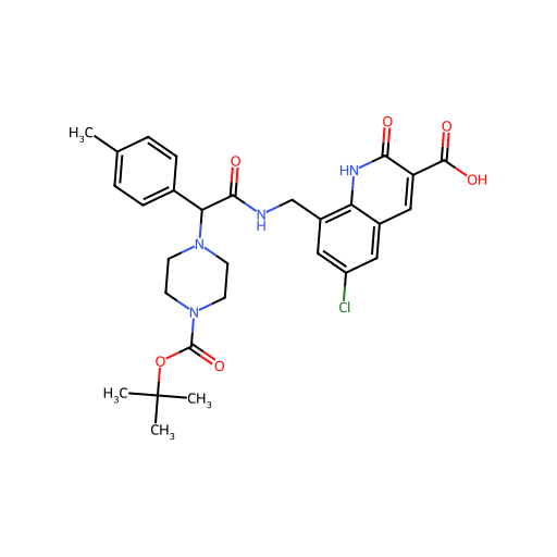 Cc1ccc(C(C(=O)NCc2cc(Cl)cc3cc(C(=O)O)c(=O)[nH]c23)N2CCN(C(=O)OC(C)(C)C)CC2)cc1